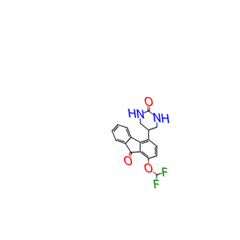 O=C1NCC(c2ccc(OC(F)F)c3c2-c2ccccc2C3=O)CN1